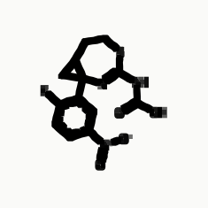 O=C(O)NC1=NC2(c3cc([N+](=O)[O-])ccc3F)CC2CCS1